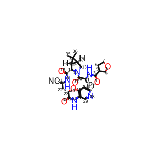 CC(C)C(NC(=O)C1CCOC1)C(=O)N1C[C@H]2[C@@H]([C@H]1C(=O)NC(C#N)C[C@@H]1Oc3ccncc3NC1=O)C2(C)C